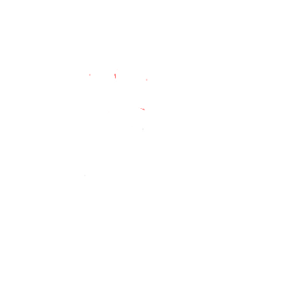 Cc1ccc([C@@]2(C)O[C@H](CO)[C@@H](O)[C@H](O)[C@H]2O)cc1Cc1ccc(-c2ccc(F)cc2)s1